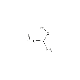 C=O.CCOC(N)=O